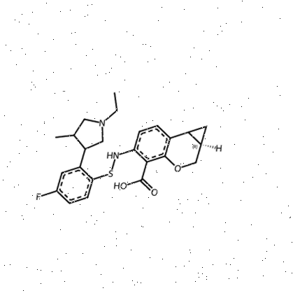 CCN1CC(C)C(c2cc(F)ccc2SNc2ccc3c(c2C(=O)O)OC[C@@H]2CC32)C1